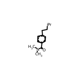 CC(C)CCc1ccc(C(=O)N(C)C)cc1